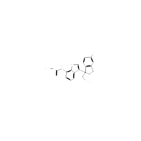 CCC1(c2c[nH]c3c(NC(=O)OC)cccc23)CCc2cc(F)ccc21